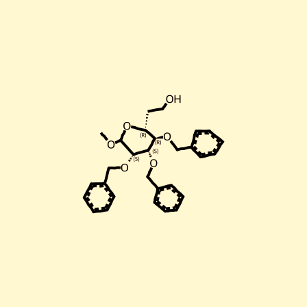 COC1O[C@H](CCO)[C@@H](OCc2ccccc2)[C@H](OCc2ccccc2)[C@@H]1OCc1ccccc1